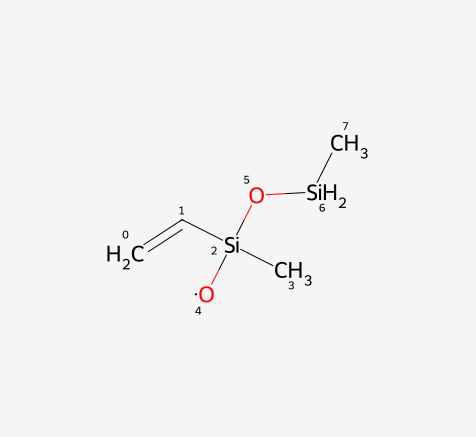 C=C[Si](C)([O])O[SiH2]C